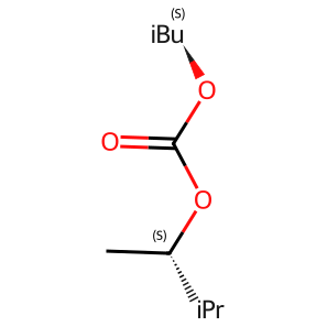 C[CH][C@H](C)OC(=O)O[C@@H](C)C(C)C